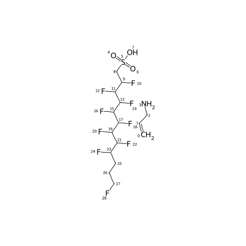 C=CCN.O=S(=O)(O)CC(F)C(F)C(F)C(F)C(F)C(F)C(F)C(F)CCCF